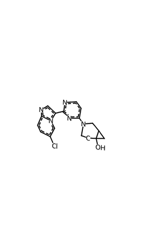 OC12CCN(c3ccnc(-c4cnc5ccc(Cl)cn45)n3)CC1C2